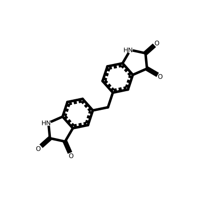 O=C1Nc2ccc(Cc3ccc4c(c3)C(=O)C(=O)N4)cc2C1=O